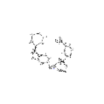 CS/C(=N/c1ccc2c(cnn2C2CCCCO2)c1)NC(=O)c1cccc([N+](=O)[O-])c1